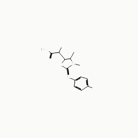 CC(C(=O)O)C1SC(=Nc2ccc(Cl)cc2)N(C)C1C